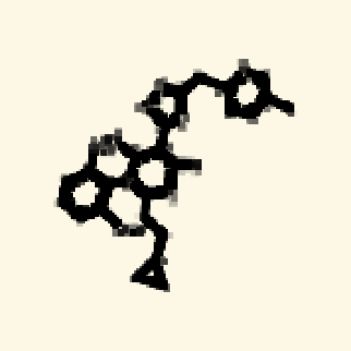 COc1cccc(OC)c1-n1c(CCC2CC2)nc(=O)c(-c2nnc(Cc3ccc(C)cn3)o2)c1O